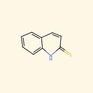 S=c1[c]cc2ccccc2[nH]1